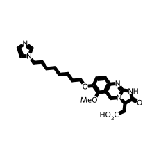 COc1c(OCCCCCCCCn2ccnc2)ccc2c1CN1C(=N2)NC(=O)C1CC(=O)O